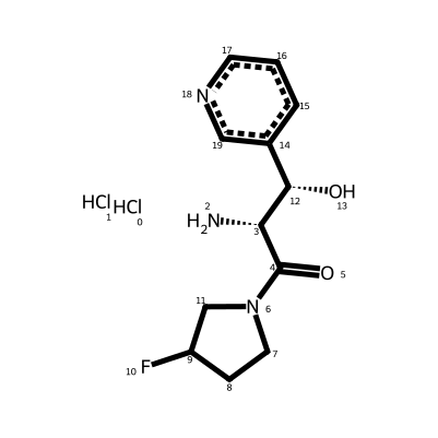 Cl.Cl.N[C@@H](C(=O)N1CCC(F)C1)[C@@H](O)c1cccnc1